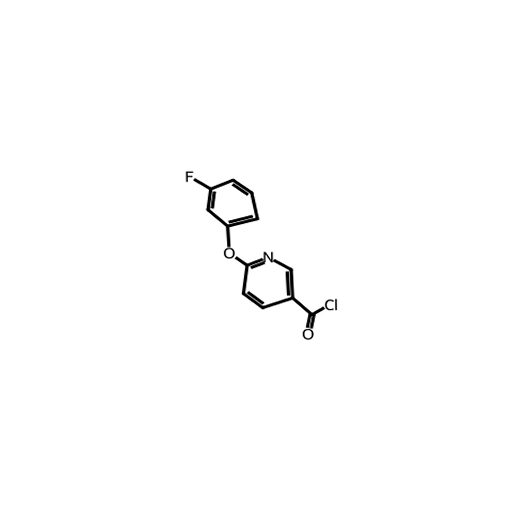 O=C(Cl)c1ccc(Oc2cccc(F)c2)nc1